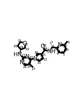 Cc1cccc([C@@H](C)NC(=O)c2ccn(-c3nc(N[C@H]4CCOC4)ncc3C)c2)n1